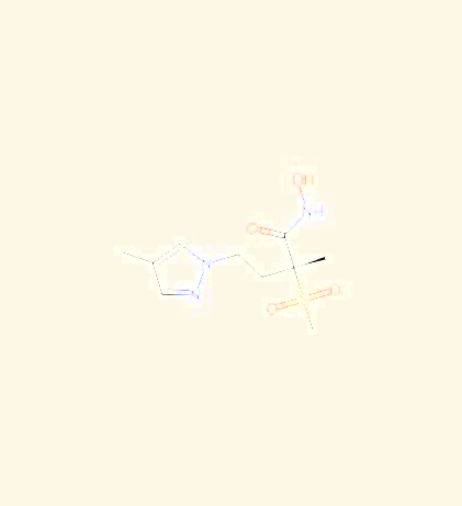 Cc1cnn(CC[C@](C)(C(=O)NO)S(C)(=O)=O)c1